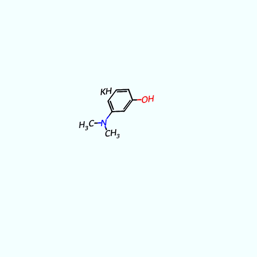 CN(C)c1cccc(O)c1.[KH]